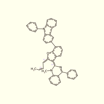 C\C=C/C=c1/oc2c(-c3ccc4c(c3)c3ccccc3n4-c3ccccc3)cccc2/c1=C1\N=C(c2ccccc2)c2ccccc2N1C